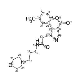 Cc1ccc2oc(=O)c3cnn(CC(=O)NCCCN4CCOCC4)c3c2c1